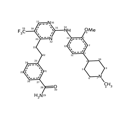 COc1cc(C2CCN(C)CC2)ccc1Nc1ncc(C(F)(F)F)c(CCc2cccc(C(N)=O)c2)n1